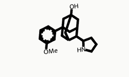 COc1cccc(C23CC4CC(O)(CC(C2)C4C2CCCN2)C3)c1